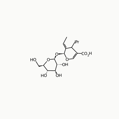 C/C=C1\C(C(C)C)C(C(=O)O)=CO[C@H]1O[C@@H]1O[C@H](CO)[C@@H](O)[C@H](O)[C@H]1O